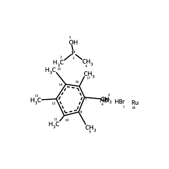 Br.Br.CP(C)O.Cc1c(C)c(C)c(C)c(C)c1C.[Ru]